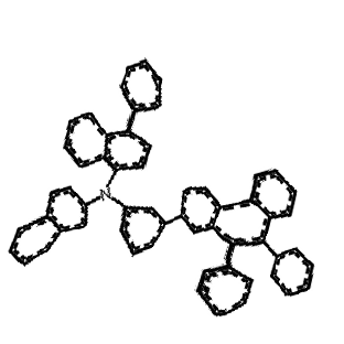 c1ccc(-c2ccc(N(c3cccc(-c4ccc5c(c4)c(-c4ccccc4)c(-c4ccccc4)c4ccccc45)c3)c3ccc4ccccc4c3)c3ccccc23)cc1